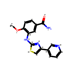 CC(C)Oc1ccc(C(N)=O)cc1Nc1nc(-c2cccnc2)cs1